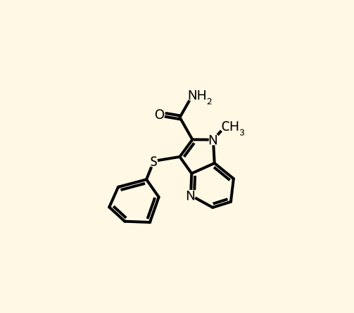 Cn1c(C(N)=O)c(Sc2ccccc2)c2ncccc21